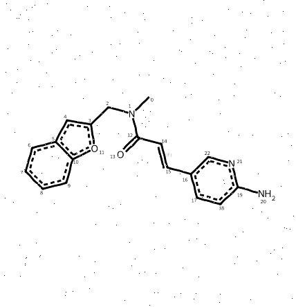 CN(Cc1cc2ccccc2o1)C(=O)/C=C/c1ccc(N)nc1